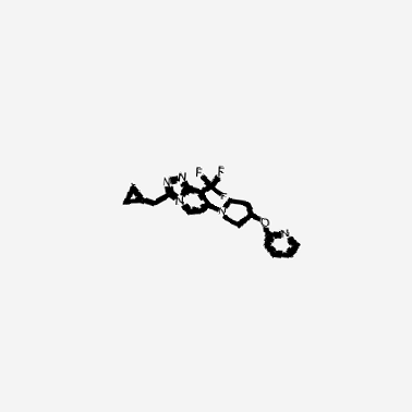 FC(F)(F)c1c(N2CCC(Oc3ccccn3)CC2)ccn2c(CC3CC3)nnc12